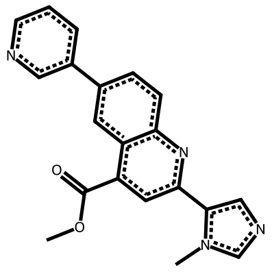 COC(=O)c1cc(-c2cncn2C)nc2ccc(-c3cccnc3)cc12